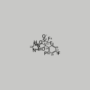 C[S+]([O-])C(F)(F)C(O)(Cn1cncn1)c1ccc(F)cc1F